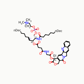 CCCCCCCCCCCCC/C=C/[C@@H](OC(=O)CCC(=O)NCC(=O)O[C@]1(CC)C(=O)OCc2c1cc1n(c2=O)Cc2cc3ccccc3nc2-1)[C@H](COP(=O)([O-])OCC[N+](C)(C)C)NC(=O)CCCCCCCCCCCCCCC